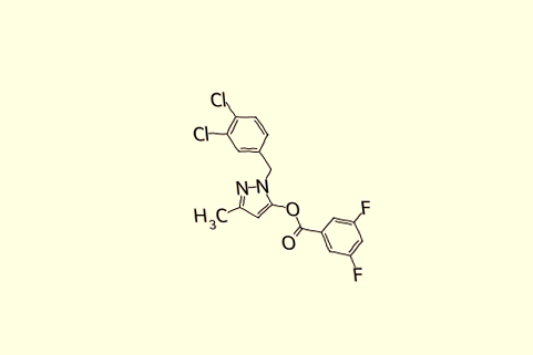 Cc1cc(OC(=O)c2cc(F)cc(F)c2)n(Cc2ccc(Cl)c(Cl)c2)n1